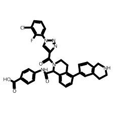 O=C(O)c1ccc(NC(=O)C2c3cccc(-c4ccc5c(c4)CCNC5)c3CCN2C(=O)c2cn(-c3cccc(Cl)c3F)nn2)cc1